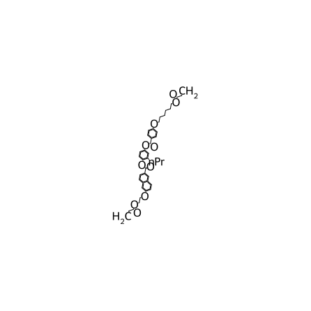 C=CC(=O)OCCCCCCOc1ccc(C(=O)Oc2ccc(OC(=O)c3ccc4cc(OCCOC(=O)C=C)ccc4c3)c(CCC)c2)cc1